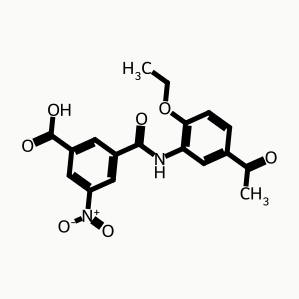 CCOc1ccc(C(C)=O)cc1NC(=O)c1cc(C(=O)O)cc([N+](=O)[O-])c1